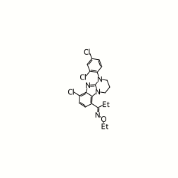 CCO/N=C(\CC)c1ccc(Cl)c2nc3n(c12)CCCN3c1ccc(Cl)cc1Cl